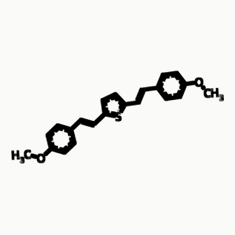 COc1ccc(/C=C/c2ccc(/C=C/c3ccc(OC)cc3)s2)cc1